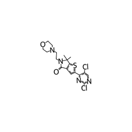 CC1(C)c2sc(-c3nc(Cl)ncc3Cl)cc2C(=O)N1CCN1CCOCC1